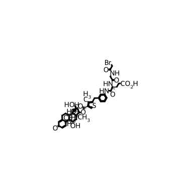 Cc1c([C@@H]2O[C@@H]3C[C@H]4[C@@H]5CCC6=CC(=O)C=C[C@]6(C)[C@H]5[C@@H](O)C[C@]4(C)[C@]3(C(=O)CO)O2)csc1Cc1cccc(NC(=O)[C@H](CCC(=O)O)NC(=O)CNC(=O)CBr)c1